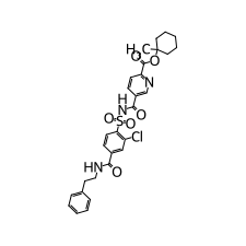 CC1(OC(=O)c2ccc(C(=O)NS(=O)(=O)c3ccc(C(=O)NCCc4ccccc4)cc3Cl)cn2)CCCCC1